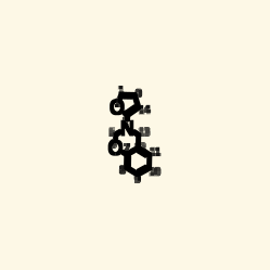 c1coc(N2COc3ccccc3C2)c1